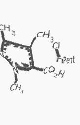 CCCCCCl.Cc1nn(C)c(C(=O)O)c1C